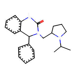 CC(C)N1CCCC1CN1C(=O)Nc2ccccc2C1c1ccccc1